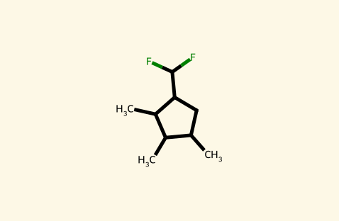 CC1CC(C(F)F)C(C)C1C